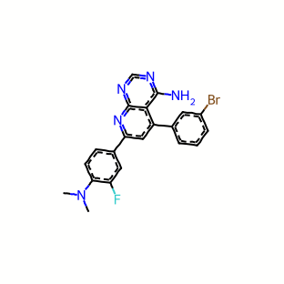 CN(C)c1ccc(-c2cc(-c3cccc(Br)c3)c3c(N)ncnc3n2)cc1F